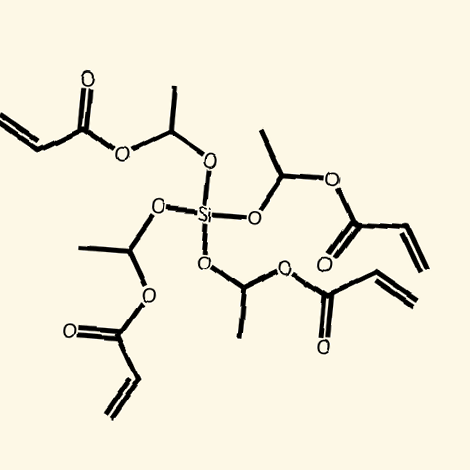 C=CC(=O)OC(C)O[Si](OC(C)OC(=O)C=C)(OC(C)OC(=O)C=C)OC(C)OC(=O)C=C